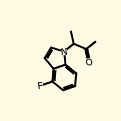 CC(=O)C(C)n1ccc2c(F)cccc21